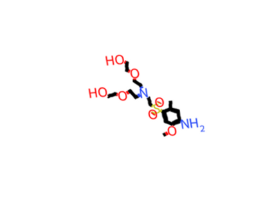 COc1cc(S(=O)(=O)CCN(CCOCCO)CCOCCO)c(C)cc1N